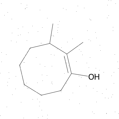 C/C1=C(\O)CCCCCC1C